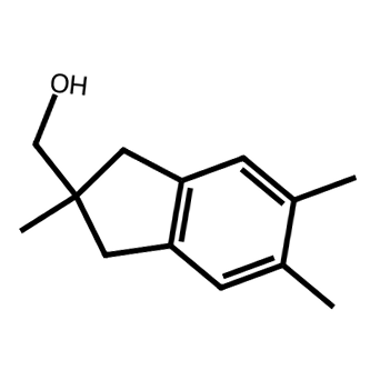 Cc1cc2c(cc1C)CC(C)(CO)C2